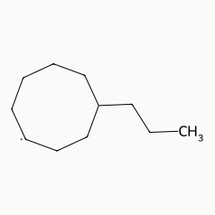 CCCC1CC[CH]CCCC1